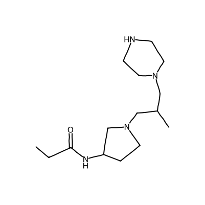 CCC(=O)NC1CCN(CC(C)CN2CCNCC2)C1